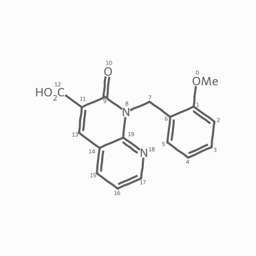 COc1ccccc1Cn1c(=O)c(C(=O)O)cc2cccnc21